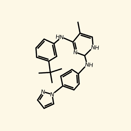 CC1=CNC(Nc2ccc(-n3cccn3)cc2)N=C1Nc1cccc(C(C)(C)C)c1